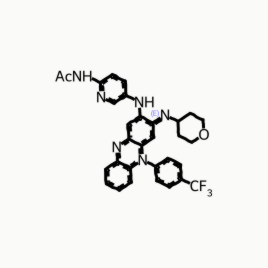 CC(=O)Nc1ccc(Nc2cc3nc4ccccc4n(-c4ccc(C(F)(F)F)cc4)c-3c/c2=N\C2CCOCC2)cn1